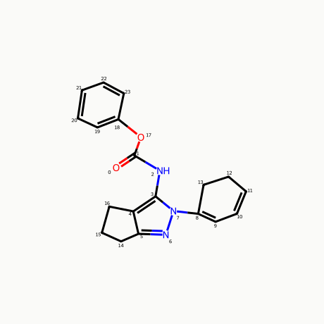 O=C(Nc1c2c(nn1C1=CC=CCC1)CCC2)Oc1ccccc1